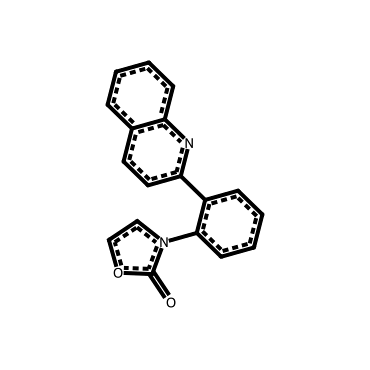 O=c1occn1-c1ccccc1-c1ccc2ccccc2n1